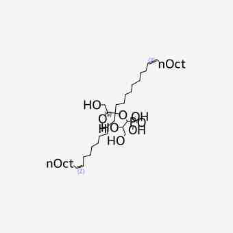 CCCCCCCC/C=C\CCCCCCCCC(CCCCCCCC/C=C\CCCCCCCC)(OC(C(O)CO)P(=O)(O)O)[C@@H](O)CO